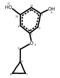 Oc1[c]c(OCC2CC2)cc(O)c1